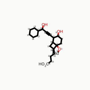 CCCCOC12CCC(O)C(C#CC(O)C3CCCCC3)C1CC2=CCCC(=O)O